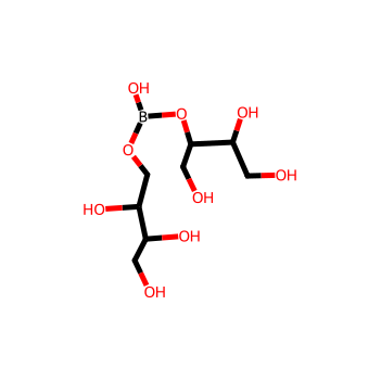 OCC(O)C(O)COB(O)OC(CO)C(O)CO